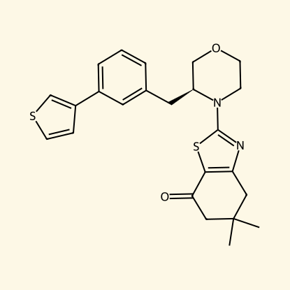 CC1(C)CC(=O)c2sc(N3CCOC[C@@H]3Cc3cccc(-c4ccsc4)c3)nc2C1